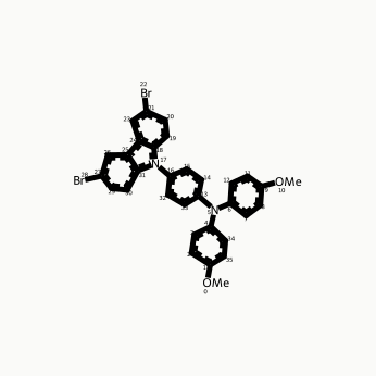 COc1ccc(N(c2ccc(OC)cc2)c2ccc(-n3c4ccc(Br)cc4c4cc(Br)ccc43)cc2)cc1